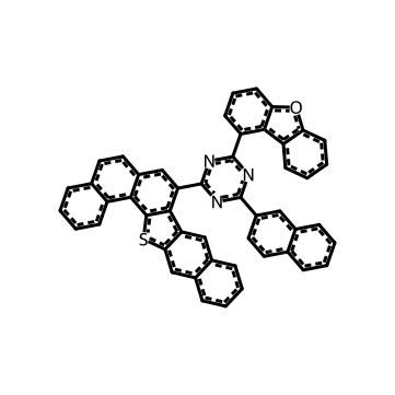 c1ccc2cc(-c3nc(-c4cccc5oc6ccccc6c45)nc(-c4cc5ccc6ccccc6c5c5sc6cc7ccccc7cc6c45)n3)ccc2c1